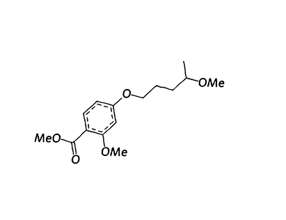 COC(=O)c1ccc(OCCCC(C)OC)cc1OC